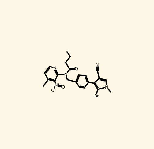 CCCC(=O)N(Cc1ccc(-c2c(C#N)cn(C)c2Br)cc1)c1nccc(C)c1[N+](=O)[O-]